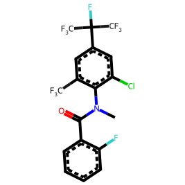 CN(C(=O)c1ccccc1F)c1c(Cl)cc(C(F)(C(F)(F)F)C(F)(F)F)cc1C(F)(F)F